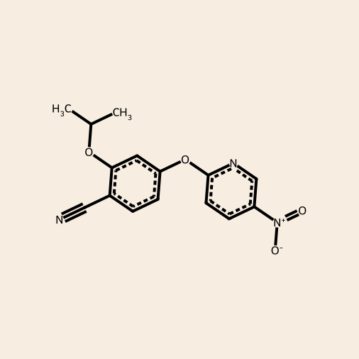 CC(C)Oc1cc(Oc2ccc([N+](=O)[O-])cn2)ccc1C#N